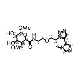 CO[C@@H]1OC(C(=O)NCCOCCn2nncc2-c2cncn2C)[C@@H](OC)[C@H](O)[C@@H]1O